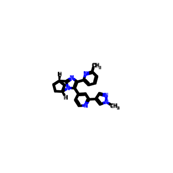 Cc1cccc(-c2nc3n(c2-c2ccnc(-c4cnn(C)c4)c2)[C@@H]2CC[C@H]3C2)n1